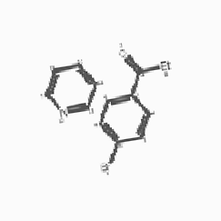 CCC(=O)c1ccc(Br)cc1.c1ccncc1